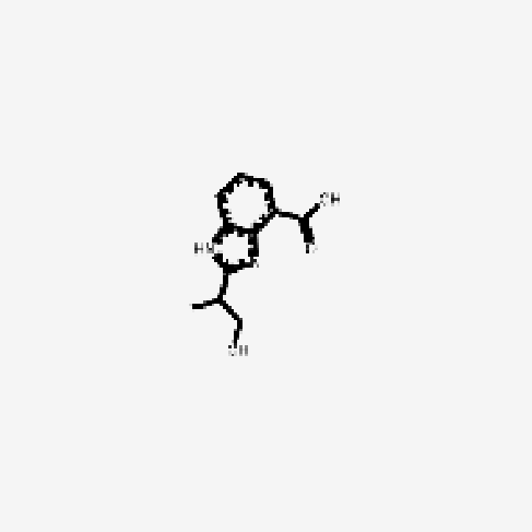 CC(CO)c1nc2c(C(=O)O)cccc2[nH]1